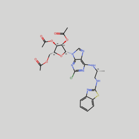 CC(=O)OC[C@H]1O[C@@H](n2cnc3c(N[C@H](C)CNc4nc5ccccc5s4)nc(Cl)nc32)[C@H](OC(C)=O)[C@@H]1OC(C)=O